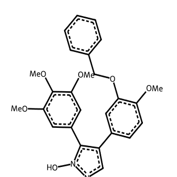 COc1ccc(-c2cnn(O)c2-c2cc(OC)c(OC)c(OC)c2)cc1OCc1ccccc1